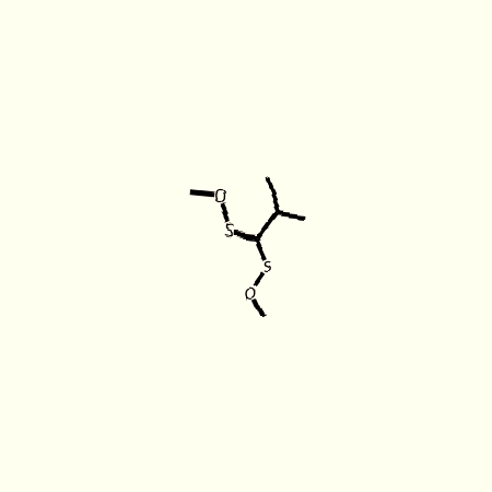 COS[C](SOC)C(C)C